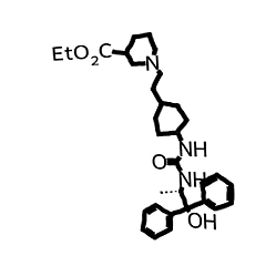 CCOC(=O)C1CCCN(CCC2CCC(NC(=O)N[C@@H](C)C(O)(c3ccccc3)c3ccccc3)CC2)C1